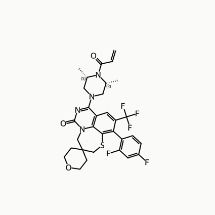 C=CC(=O)N1[C@H](C)CN(c2nc(=O)n3c4c(c(-c5ccc(F)cc5F)c(C(F)(F)F)cc24)SCC2(CCOCC2)C3)C[C@@H]1C